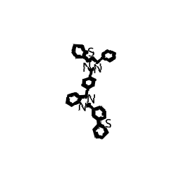 c1ccc(-c2nc(-c3ccc(-c4nc(-c5ccc6sc7ccccc7c6c5)nc5ccccc45)cc3)nc3c2sc2ccccc23)cc1